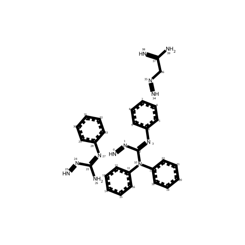 N=NC(=Nc1ccccc1)N(c1ccccc1)c1ccccc1.N=NC(N)=Nc1ccccc1.N=NCC(=N)N